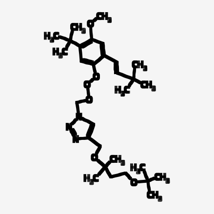 COc1cc(/C=C/C(C)(C)C)c(OOOCn2cc(COC(C)(C)CCOC(C)(C)C)nn2)cc1C(C)(C)C